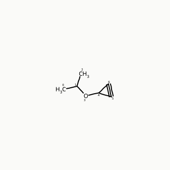 CC(C)OC1C#C1